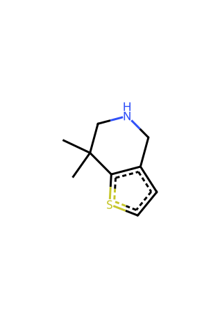 CC1(C)CNCc2ccsc21